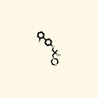 CC(O)(COc1ccc(-c2ccccc2I)cc1)CN1CCOCC1